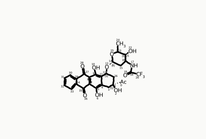 CC(=O)[C@]1(O)Cc2c(O)c3c(c(O)c2[C@@H](O[C@H]2CC(NC(=O)C(F)(F)F)[C@H](O)C(C)O2)C1)C(=O)c1ccccc1C3=O